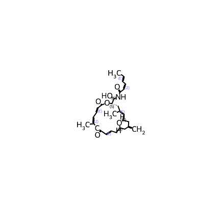 C=C1C[C@@H]2C/C=C/C(=O)C/C(C)=C\C=C\C(=O)O[C@H]([C@H](O)NC(=O)/C=C\C=C\C)C/C(C)=C/[C@H](C1)O2